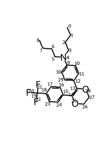 CCCCN(CCCC)c1ccc(C2=C(c3ccc(C(F)(F)F)cc3)OCCO2)cc1